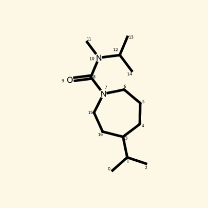 CC(C)C1CCCN(C(=O)N(C)C(C)C)CC1